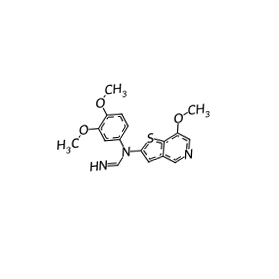 COc1ccc(N(C=N)c2cc3cncc(OC)c3s2)cc1OC